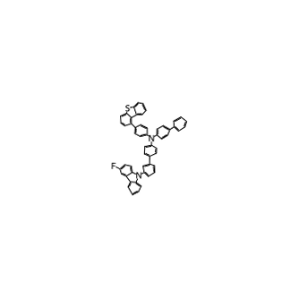 Fc1ccc2c(c1)c1ccccc1n2-c1cccc(-c2ccc(N(c3ccc(-c4ccccc4)cc3)c3ccc(-c4cccc5sc6ccccc6c45)cc3)cc2)c1